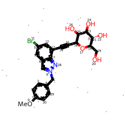 COc1ccc(Cn2cc3cc(Br)cc(C#CC4OC(CO)[C@@H](O)C(O)C4O)c3n2)cc1